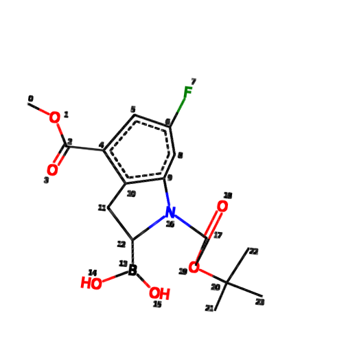 COC(=O)c1cc(F)cc2c1CC(B(O)O)N2C(=O)OC(C)(C)C